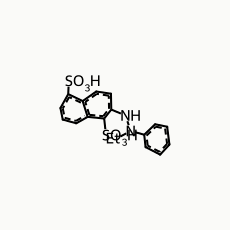 CCN(Nc1ccc2c(S(=O)(=O)O)cccc2c1S(=O)(=O)O)c1ccccc1